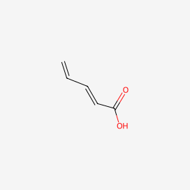 C=C/C=C/C(=O)O